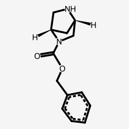 O=C(OCc1ccccc1)N1C[C@@H]2C[C@H]1CN2